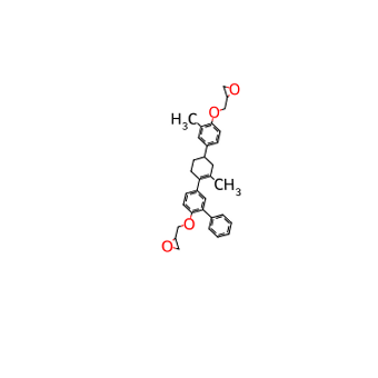 CC1=C(c2ccc(OCC3CO3)c(-c3ccccc3)c2)CCC(c2ccc(OCC3CO3)c(C)c2)C1